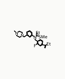 C=C(CC)c1ccc(CN(c2cccc(CN3CCN(C)CC3)c2)N(CC)SC)c(F)c1